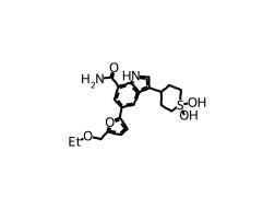 CCOCc1ccc(-c2cc(C(N)=O)c3[nH]cc(C4CCS(O)(O)CC4)c3c2)o1